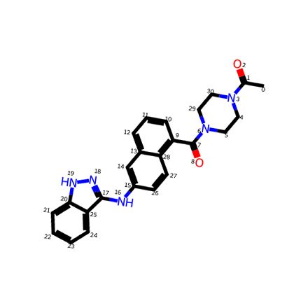 CC(=O)N1CCN(C(=O)c2cccc3cc(Nc4n[nH]c5ccccc45)ccc23)CC1